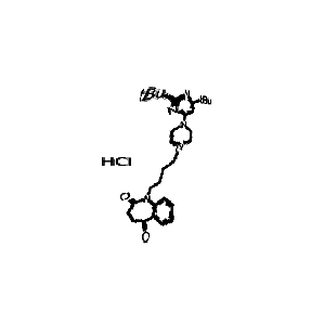 CC(C)(C)c1cc(N2CCN(CCCCN3C(=O)CCC(=O)c4ccccc43)CC2)nc(C(C)(C)C)n1.Cl